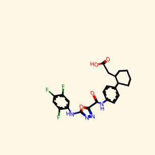 O=C(O)CC1CCCCC1c1ccc(NC(=O)c2nnc(Nc3cc(F)c(F)cc3F)o2)cc1